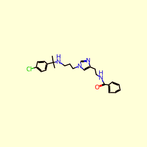 CC(C)(NCCCn1cnc(CCNC(=O)c2ccccc2)c1)c1ccc(Cl)cc1